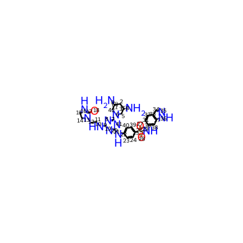 N[C@@H]1C[C@H](N)CN(c2nc(NCCN3CCNC3=O)nc(Nc3ccc(S(=O)(=O)Nc4ccc5cn[nH]c5c4)cc3)n2)C1